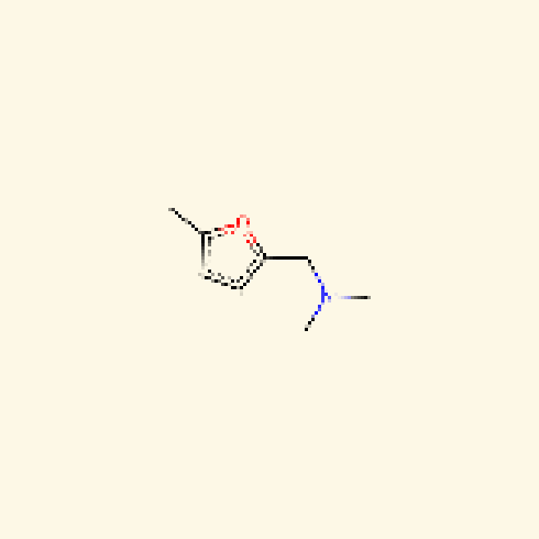 Cc1c[c]c(CN(C)C)o1